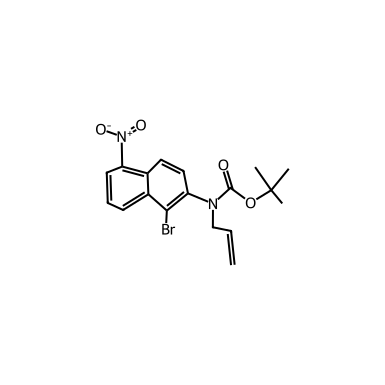 C=CCN(C(=O)OC(C)(C)C)c1ccc2c([N+](=O)[O-])cccc2c1Br